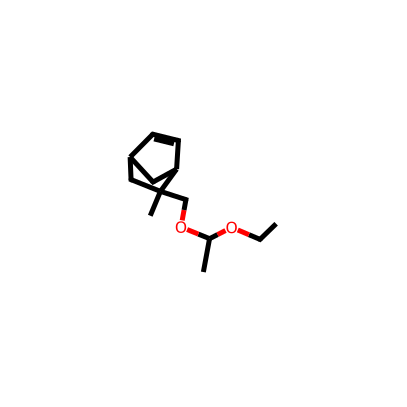 CCOC(C)OCC1(C)CC2C=CC1C2